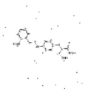 CNC(=O)C(Cc1ccc(OCCc2ccccc2OC)cc1)SC=O